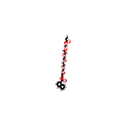 C=CC(=O)OCCOCCOCCOCCOCCOCCOC(=O)c1cccc2ccccc12